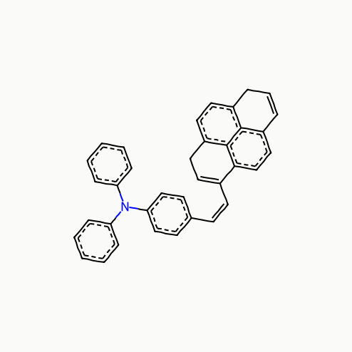 C1=Cc2ccc3c4c(ccc(c24)C1)CC=C3/C=C\c1ccc(N(c2ccccc2)c2ccccc2)cc1